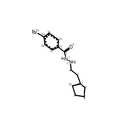 O=C(NNCCC1CCCC1)c1ccc(Br)cc1